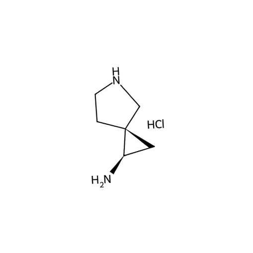 Cl.N[C@@H]1C[C@]12CCNC2